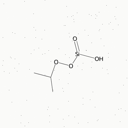 CC(C)OO[Si](=O)O